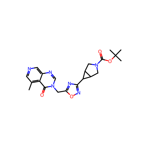 Cc1cncc2ncn(Cc3nc(C4C5CN(C(=O)OC(C)(C)C)CC54)no3)c(=O)c12